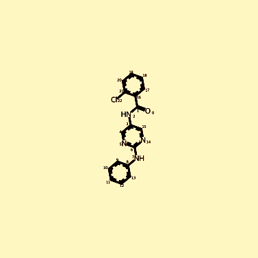 O=C(Nc1cnc(Nc2ccccc2)nc1)c1ccccc1Cl